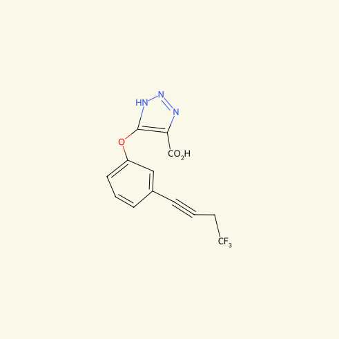 O=C(O)c1nn[nH]c1Oc1cccc(C#CCC(F)(F)F)c1